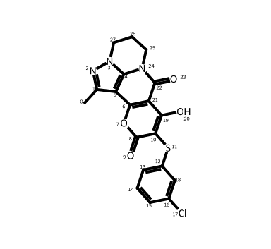 Cc1nn2c3c1c1oc(=O)c(Sc4cccc(Cl)c4)c(O)c1c(=O)n3CCC2